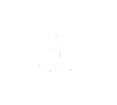 CCOCC.O=S(=O)(O)c1ccccc1